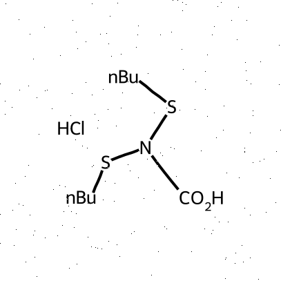 CCCCSN(SCCCC)C(=O)O.Cl